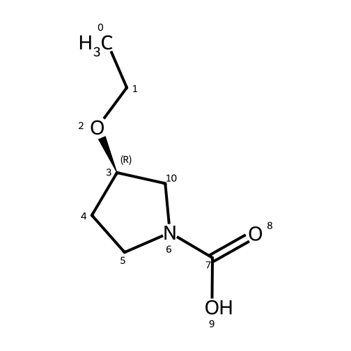 CCO[C@@H]1CCN(C(=O)O)C1